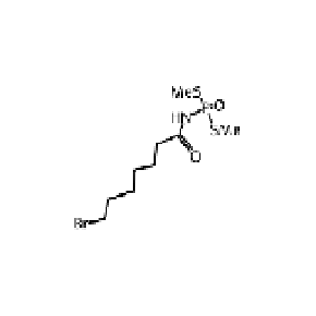 CSP(=O)(NC(=O)CCCCCCBr)SC